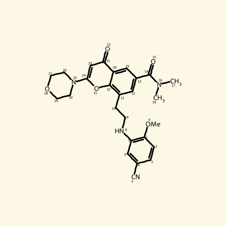 COc1ccc(C#N)cc1NCCc1cc(C(=O)N(C)C)cc2c(=O)cc(N3CCOCC3)oc12